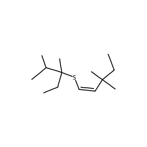 CCC(C)(C)/C=C\SC(C)(CC)C(C)C